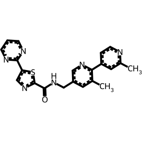 Cc1cc(-c2ncc(CNC(=O)c3ncc(-c4ncccn4)s3)cc2C)ccn1